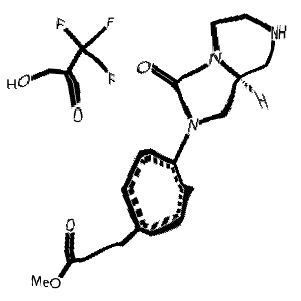 COC(=O)Cc1ccc(N2C[C@@H]3CNCCN3C2=O)cc1.O=C(O)C(F)(F)F